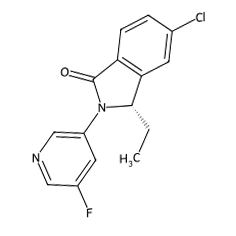 CC[C@H]1c2cc(Cl)ccc2C(=O)N1c1cncc(F)c1